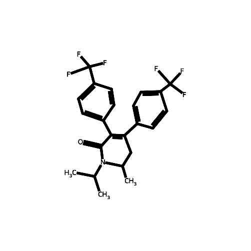 CC(C)N1C(=O)C(c2ccc(C(F)(F)F)cc2)=C(c2ccc(C(F)(F)F)cc2)CC1C